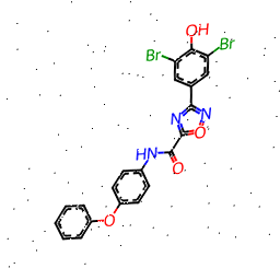 O=C(Nc1ccc(Oc2ccccc2)cc1)c1nc(-c2cc(Br)c(O)c(Br)c2)no1